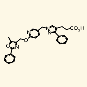 Cc1oc(-c2ccccc2)nc1COc1ccc(Cn2cc(CCC(=O)O)c(-c3ccccc3)n2)cn1